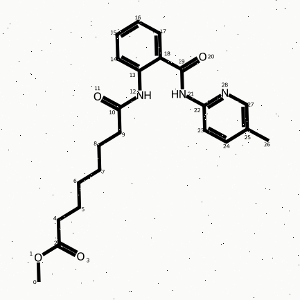 COC(=O)CCCCCCC(=O)Nc1ccccc1C(=O)Nc1ccc(C)cn1